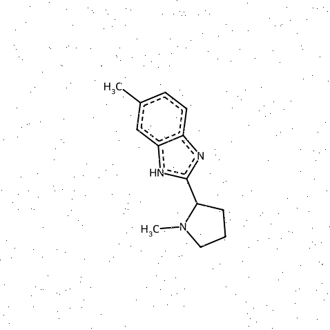 Cc1ccc2nc(C3CCCN3C)[nH]c2c1